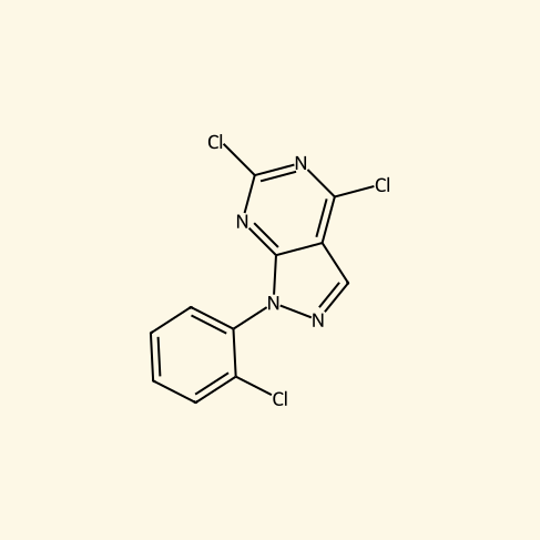 Clc1nc(Cl)c2cnn(-c3ccccc3Cl)c2n1